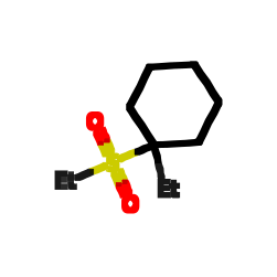 CCC1(S(=O)(=O)CC)CCCCC1